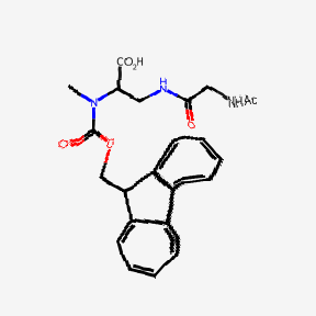 CC(=O)NCC(=O)NCC(C(=O)O)N(C)C(=O)OCC1c2ccccc2-c2ccccc21